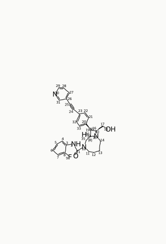 O=C(Nc1ccccc1F)N1CCCCN2[C@H](CO)[C@H](c3ccc(C#Cc4cccnc4)cc3)[C@@H]2C1